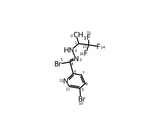 CC(N/N=C(\Br)c1ccc(Br)cn1)C(F)(F)F